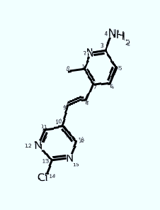 Cc1nc(N)ccc1/C=C/c1cnc(Cl)nc1